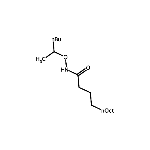 CCCCCCCCCCCC(=O)NOC(C)CCCC